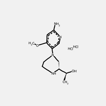 COc1cc(N)ncc1N1CCN[C@@H]([C@H](C)O)C1.Cl.Cl